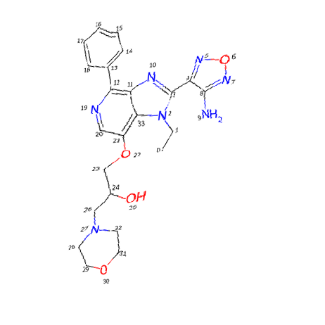 CCn1c(-c2nonc2N)nc2c(-c3ccccc3)ncc(OCC(O)CN3CCOCC3)c21